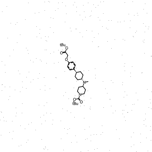 CN(C1CCN(C(=O)OC(C)(C)C)CC1)[C@H]1CC[C@H](c2ccc(OCC(=O)OC(C)(C)C)cc2)CC1